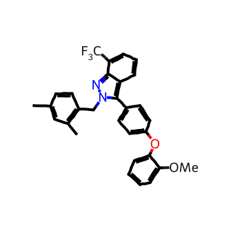 COc1ccccc1Oc1ccc(-c2c3cccc(C(F)(F)F)c3nn2Cc2ccc(C)cc2C)cc1